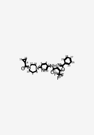 O=C(Nc1ccc(N2CCCN(C(=O)C3CC3)CC2)nc1)c1nc(-c2ccccc2)oc1C(F)(F)F